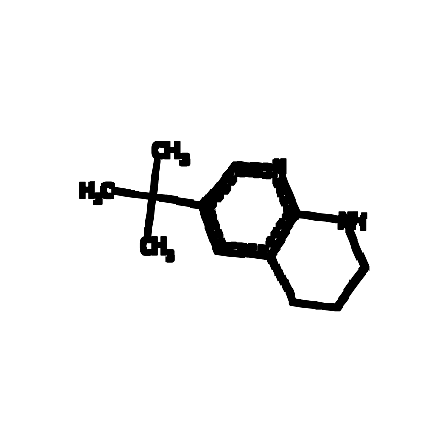 CC(C)(C)c1cnc2c(c1)CCCN2